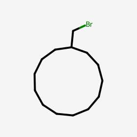 BrCC1CCCCCCCCCCCC1